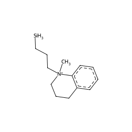 C[N+]1(CCC[SiH3])CCCc2ccccc21